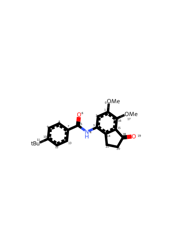 COc1cc(NC(=O)c2ccc(C(C)(C)C)cc2)c2c(c1OC)C(=O)CC2